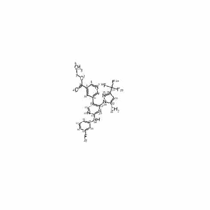 CCOC(=O)c1cncc(-c2cnc(Nc3cccc(F)c3)nc2-n2nc(C(F)(F)F)cc2C)c1